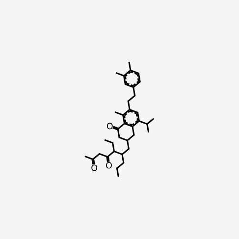 CCCC(CC1CC(=O)c2c(C)c(CCc3ccc(C)c(C)c3)cc(C(C)C)c2C1)C(CC)C(=O)CC(C)=O